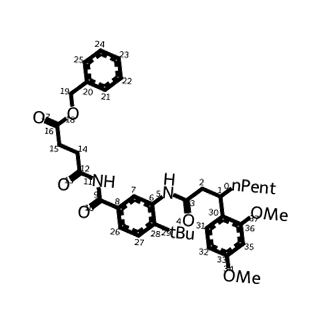 CCCCCC(CC(=O)Nc1cc(C(=O)NC(=O)CCC(=O)OCc2ccccc2)ccc1C(C)(C)C)c1ccc(OC)cc1OC